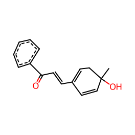 CC1(O)C=CC(C=CC(=O)c2ccccc2)=CC1